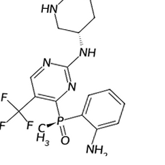 C[P@](=O)(c1ccccc1N)c1nc(N[C@H]2CCCNC2)ncc1C(F)(F)F